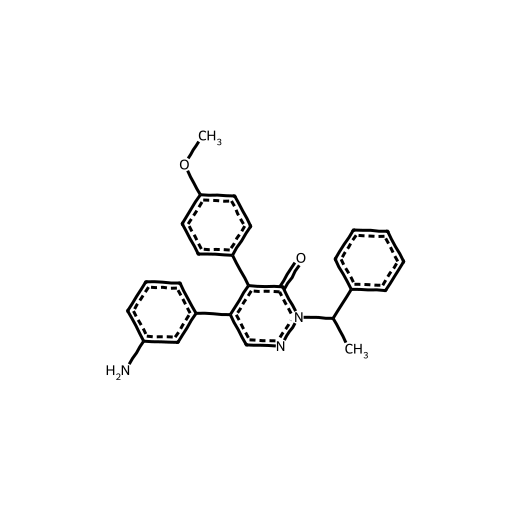 COc1ccc(-c2c(-c3cccc(N)c3)cnn(C(C)c3ccccc3)c2=O)cc1